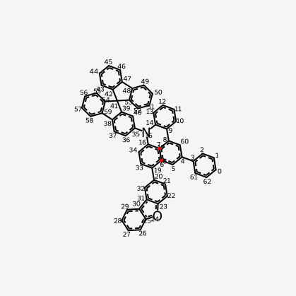 c1ccc(-c2cccc(-c3ccccc3N(c3ccc(-c4ccc5oc6ccccc6c5c4)cc3)c3ccc4c(c3)C3(c5ccccc5-c5ccccc53)c3ccccc3-4)c2)cc1